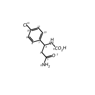 NC(=O)CC(NC(=O)O)c1ccc(Cl)cc1